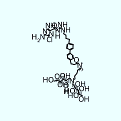 C[C@H](CCCCN(C[C@H](O)[C@@H](O)[C@H](O)[C@H](O)CO)C[C@H](O)[C@@H](O)[C@H](O)[C@H](O)CO)N(C)C(=O)CCc1ccc(-c2ccc(CCCCNC(=N)NC(=O)c3nc(Cl)c(N)nc3N)cc2)cc1